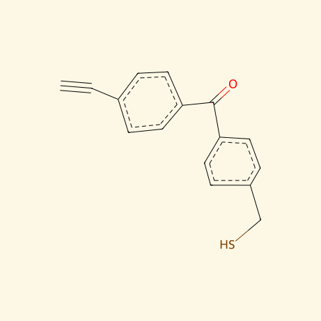 C#Cc1ccc(C(=O)c2ccc(CS)cc2)cc1